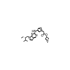 CC[C@H](Cn1ccc2cnc(Nc3cnn(CC(=O)OC4CN(C)C4)c3)nc21)C(C)C